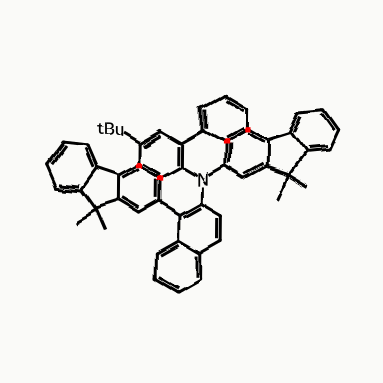 CC(C)(C)c1ccc(N(c2ccc3c(c2)C(C)(C)c2ccccc2-3)c2ccc3ccccc3c2-c2ccc3c(c2)C(C)(C)c2ccccc2-3)c(-c2ccccc2)c1